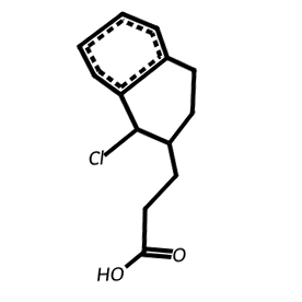 O=C(O)CCC1CCc2ccccc2C1Cl